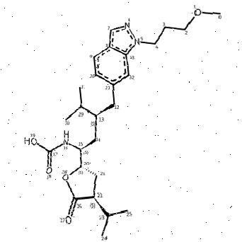 COCCCn1ncc2ccc(C[C@@H](C[C@H](NC(=O)O)[C@@H]3C[C@@H](C(C)C)C(=O)O3)C(C)C)cc21